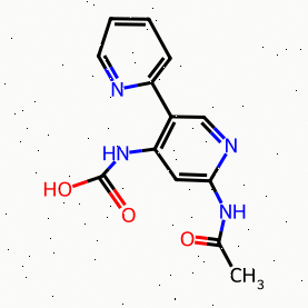 CC(=O)Nc1cc(NC(=O)O)c(-c2ccccn2)cn1